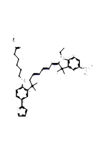 CCN1/C(=C/C=C/C=C/C2=[N+](CCCCCC(=O)OC)c3ccc(-c4cccs4)cc3C2(C)C)C(C)(C)c2cc([N+](=O)[O-])ccc21